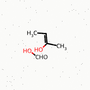 CC=C(C)O.O=CO